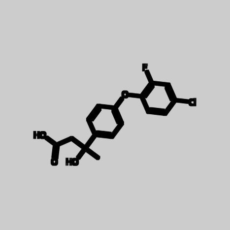 CC(O)(CC(=O)O)c1ccc(Oc2ccc(Cl)cc2F)cc1